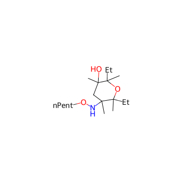 CCCCCONC1(C)CC(C)(O)C(C)(CC)OC1(C)CC